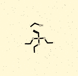 C=C[Si](OCC)(OCC)OCC.CCO